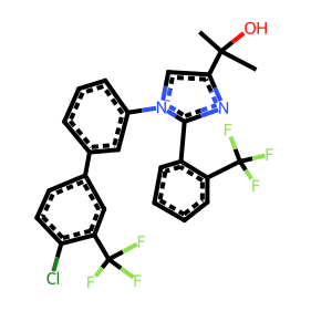 CC(C)(O)c1cn(-c2cccc(-c3ccc(Cl)c(C(F)(F)F)c3)c2)c(-c2ccccc2C(F)(F)F)n1